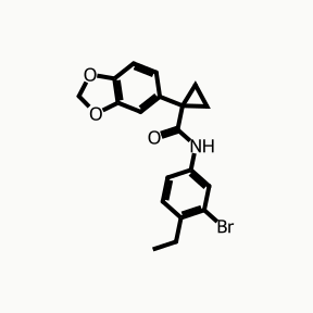 CCc1ccc(NC(=O)C2(c3ccc4c(c3)OCO4)CC2)cc1Br